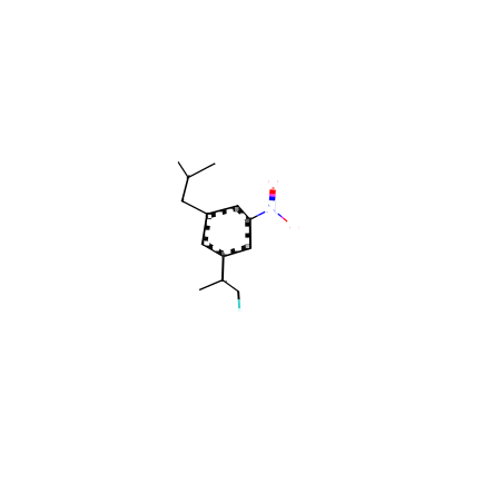 C[C](CF)c1cc(CC(C)C)cc([N+](=O)[O-])c1